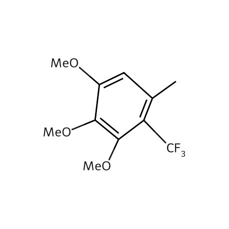 COc1cc(C)c(C(F)(F)F)c(OC)c1OC